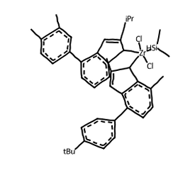 CC1=Cc2c(-c3ccc(C(C)(C)C)cc3)ccc(C)c2[CH]1[Zr]([Cl])([Cl])([CH]1C(C(C)C)=Cc2c(-c3ccc(C)c(C)c3)cccc21)[SiH](C)C